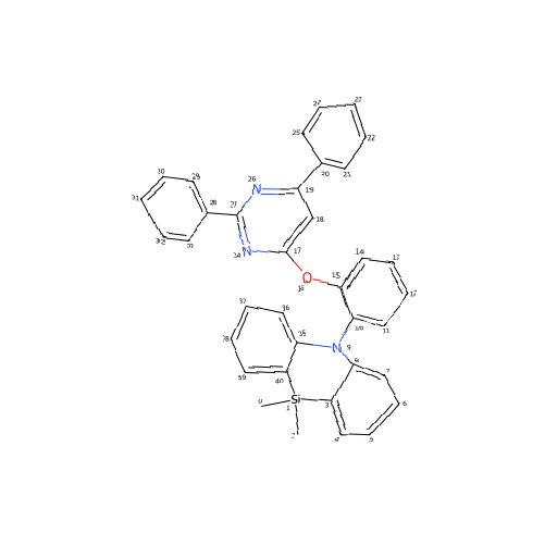 C[Si]1(C)c2ccccc2N(c2ccccc2Oc2cc(-c3ccccc3)nc(-c3ccccc3)n2)c2ccccc21